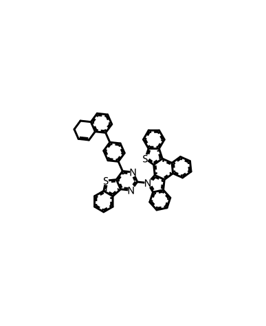 C1=Cc2c(cccc2-c2ccc(-c3nc(-n4c5ccccc5c5c6ccccc6c6c7ccccc7sc6c54)nc4c3sc3ccccc34)cc2)CC1